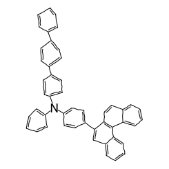 c1ccc(-c2ccc(-c3ccc(N(c4ccccc4)c4ccc(-c5cc6ccccc6c6c5ccc5ccccc56)cc4)cc3)cc2)cc1